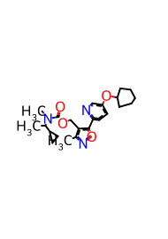 Cc1noc(-c2ccc(OC3CCCCC3)cn2)c1COC(=O)N(C)C(C)C1CC1